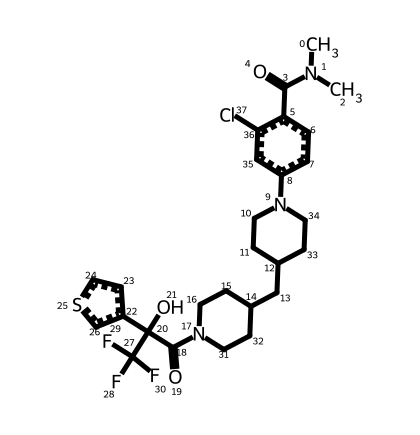 CN(C)C(=O)c1ccc(N2CCC(CC3CCN(C(=O)C(O)(c4ccsc4)C(F)(F)F)CC3)CC2)cc1Cl